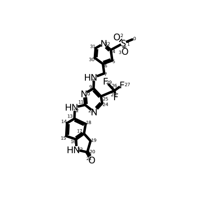 CS(=O)(=O)c1cc(CNc2nc(Nc3ccc4c(c3)CC(=O)N4)ncc2C(F)(F)F)ccn1